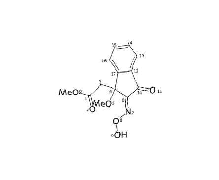 COC(=O)CC1(OC)C(=NOO)C(=O)c2ccccc21